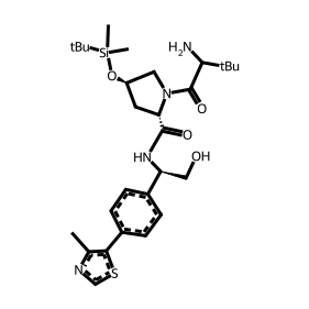 Cc1ncsc1-c1ccc([C@H](CO)NC(=O)[C@@H]2C[C@@H](O[Si](C)(C)C(C)(C)C)CN2C(=O)C(N)C(C)(C)C)cc1